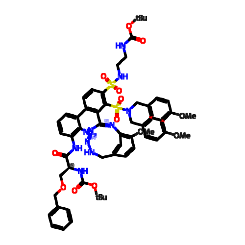 COc1ccc(CN(Cc2ccc(OC)cc2)S(=O)(=O)c2c(S(=O)(=O)NCCNC(=O)OC(C)(C)C)ccc(-c3cccc(NC(=O)[C@H](COCc4ccccc4)NC(=O)OC(C)(C)C)c3N)c2C2=N/c3cc(ccc3OC)CN/N=N\2)cc1